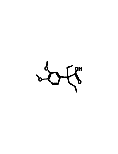 CCCC(CC)(C(=O)O)c1ccc(OC)c(OC)c1